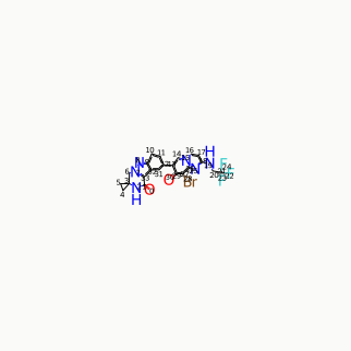 O=C1NC2(CC2)Cn2nc3ccc(-c4cn5ccc(NCC(F)(F)F)nc5c(Br)c4=O)cc3c21